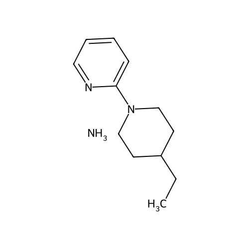 CCC1CCN(c2ccccn2)CC1.N